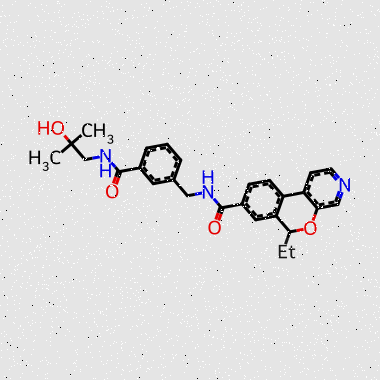 CCC1Oc2cnccc2-c2ccc(C(=O)NCc3cccc(C(=O)NCC(C)(C)O)c3)cc21